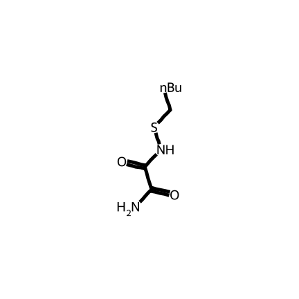 CCCCCSNC(=O)C(N)=O